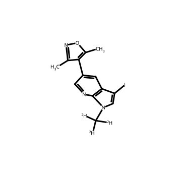 [2H]C([2H])([2H])n1cc(I)c2cc(-c3c(C)noc3C)cnc21